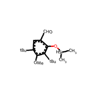 COc1c(C(C)(C)C)cc(C=O)c(O[SiH](C)C)c1C(C)(C)C